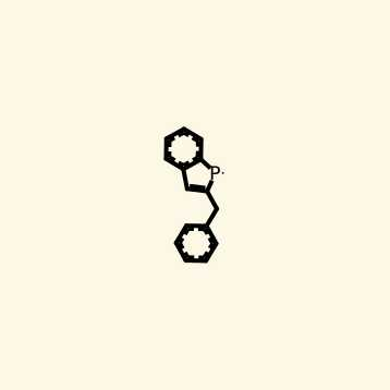 C1=C(Cc2ccccc2)[P]c2ccccc21